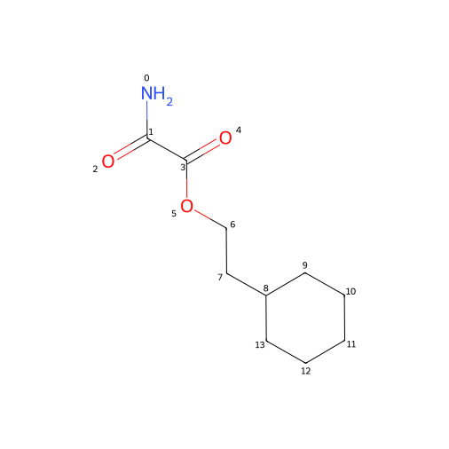 NC(=O)C(=O)OCCC1CCCCC1